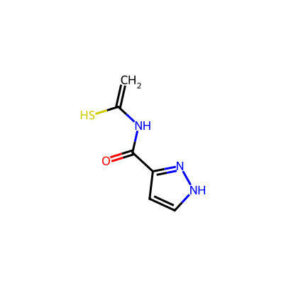 C=C(S)NC(=O)c1cc[nH]n1